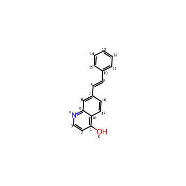 Oc1ccnc2cc(/C=C/c3ccccc3)ccc12